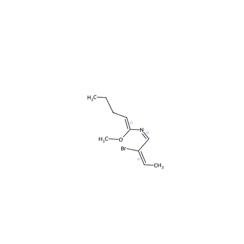 C\C=C(Br)/C=N\C(=C\CCC)OC